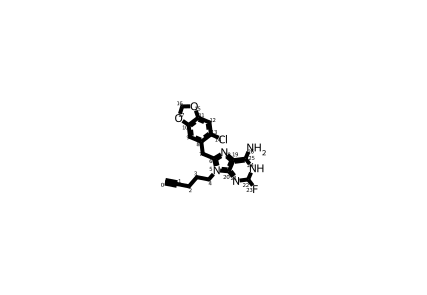 C#CCCCn1c(Cc2cc3c(cc2Cl)OCO3)nc2c1=NC(F)NC=2N